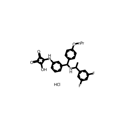 CCCOc1ccc(C(NC(C)c2cc(F)cc(F)c2)c2cccc(Nc3c(O)c(=O)c3=O)c2)cc1.Cl